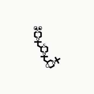 CC(C)(C)N1CCOC(CC(C)(C)N2CCSC(CC(C)(C)N3CCS(=O)(=O)CC3)C2)C1